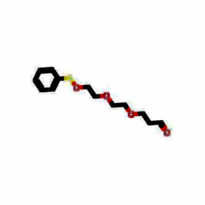 O=CCCOCCOCCOSc1ccccc1